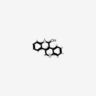 OC1Oc2ccccc2C2=C1c1ccccc1OC2